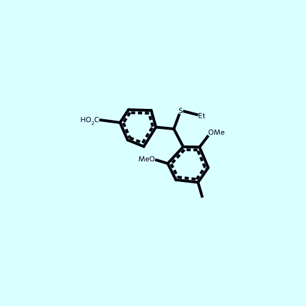 CCSC(c1ccc(C(=O)O)cc1)c1c(OC)cc(C)cc1OC